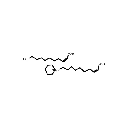 C1CCCCC1.CCCCCCCC/C=C\CCCCCCCC(=O)O.CCCCCCCC/C=C\CCCCCCCC(=O)O